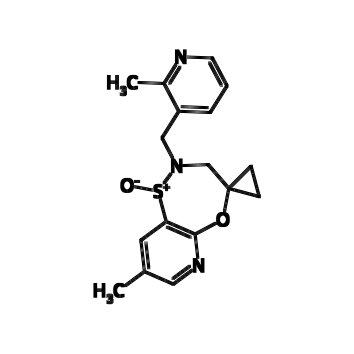 Cc1cnc2c(c1)[S+]([O-])N(Cc1cccnc1C)CC1(CC1)O2